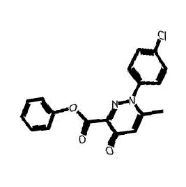 Cc1cc(=O)c(C(=O)Oc2ccccc2)nn1-c1ccc(Cl)cc1